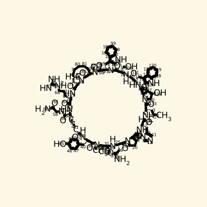 CC(C)C[C@@H]1NC(=O)[C@H](Cc2cnc[nH]2)NC(=O)[C@@H]2CCCN2C(=O)[C@H](CC(N)=O)NC(=O)[C@H](C)N(C)C(=O)[C@H](Cc2ccc(O)cc2)NC(=O)CSC[C@@H](C(=O)NCC(N)=O)NC(=O)[C@H](CCCNC(=N)N)NC(=O)C2CCCCCCC(C(=O)N2C)N(C)C(=O)[C@H](Cc2c[nH]c3ccccc23)NC(=O)[C@H](CO)NC(=O)[C@H](Cc2c[nH]c3ccccc23)NC(=O)[C@@H]2C[C@@H](O)CN2C1=O